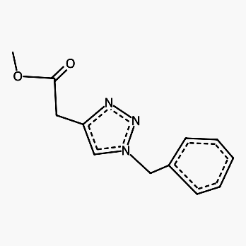 COC(=O)Cc1cn(Cc2ccccc2)nn1